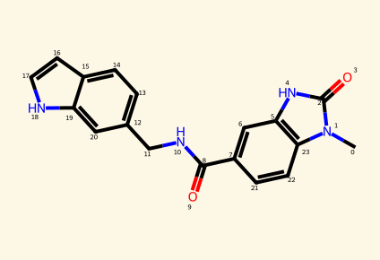 Cn1c(=O)[nH]c2cc(C(=O)NCc3ccc4cc[nH]c4c3)ccc21